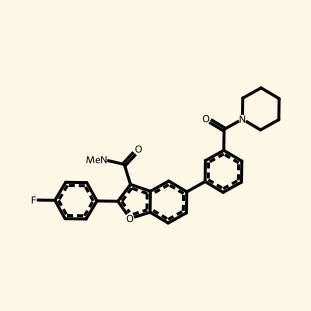 CNC(=O)c1c(-c2ccc(F)cc2)oc2ccc(-c3cccc(C(=O)N4CCCCC4)c3)cc12